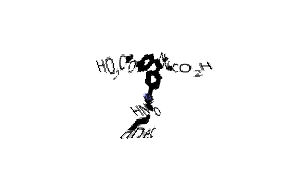 CCCCCCCCCCCCNC(=O)/C=C/c1ccc(-c2c(-c3ccc(OCC(=O)O)cc3)ncn2CC(=O)O)cc1